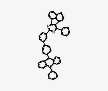 c1ccc(-c2nc(-c3cccc(-c4ccc(-c5c6ccccc6c(-c6ccccc6)c6ccccc56)cc4)c3)nc3c2-c2cccc4cccc-3c24)cc1